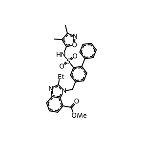 CCc1nc2cccc(C(=O)OC)c2n1Cc1ccc(-c2ccccc2)c(S(=O)(=O)Nc2onc(C)c2C)c1